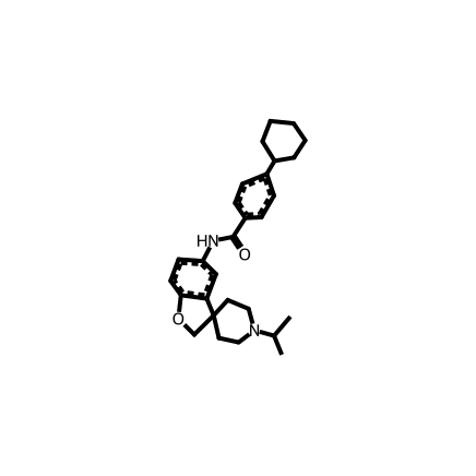 CC(C)N1CCC2(CC1)COc1ccc(NC(=O)c3ccc(C4CCCCC4)cc3)cc12